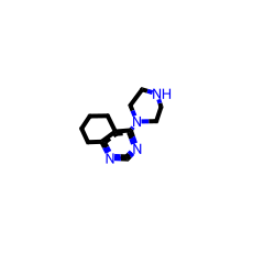 c1nc2c(c(N3CCNCC3)n1)CCCC2